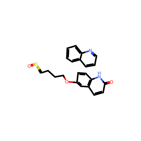 O=S=CCCCOc1ccc2[nH]c(=O)ccc2c1.c1ccc2ncccc2c1